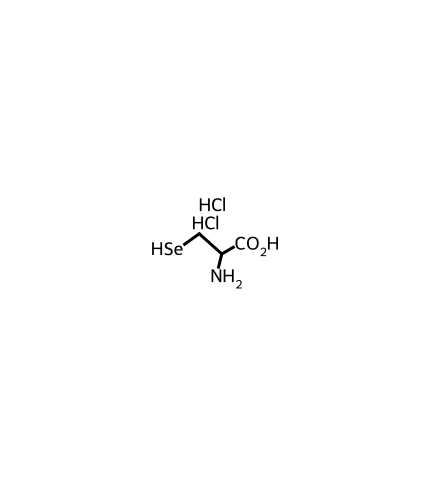 Cl.Cl.NC(C[SeH])C(=O)O